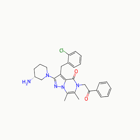 Cc1c(C)n2nc(N3CCC[C@@H](N)C3)c(Cc3ccccc3Cl)c2c(=O)n1CC(=O)c1ccccc1